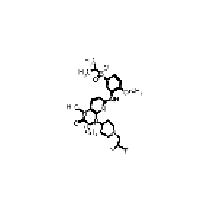 COc1ccc(S(=O)(=O)C(C)C)cc1Nc1ccc2c(n1)N(C1CCN(CC(F)F)CC1)[C@H](C)C(=O)N2C